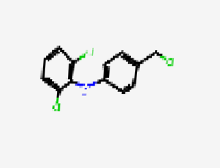 ClCc1ccc(Nc2c(Cl)cccc2Cl)cc1